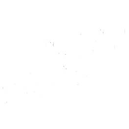 CC(C)Nc1ccc(-c2c(N)c3ccc(O[C@@H]4CCOC4)cc3n2C2CC2)cc1